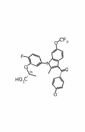 Cc1c(C(=O)c2ccc(Cl)cc2)c2ccc(OC(F)(F)F)cc2n1-c1ccc(F)c(O[C@H](C)C(=O)O)c1